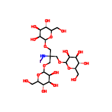 OCC1OC(OCC(COC2OC(CO)[C@@H](O)[C@H](O)[C@@H]2O)(COC2OC(CO)[C@@H](O)[C@H](O)[C@@H]2O)NI)[C@@H](O)[C@@H](O)[C@@H]1O